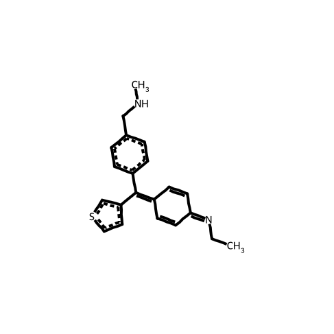 CCN=C1C=CC(=C(c2ccc(CNC)cc2)c2ccsc2)C=C1